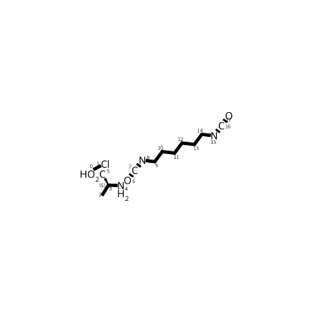 CCl.C[C@H](N)C(=O)O.O=C=NCCCCCCN=C=O